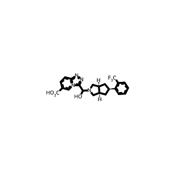 O=C(O)c1ccc2nnc(C(O)N3C[C@H]4C[C@@H](c5ccccc5C(F)(F)F)C[C@H]4C3)n2c1